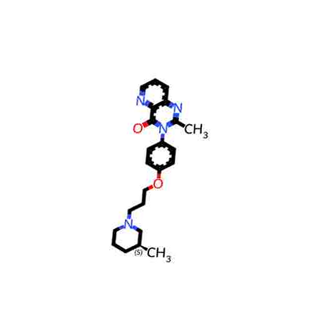 Cc1nc2cccnc2c(=O)n1-c1ccc(OCCCN2CCC[C@H](C)C2)cc1